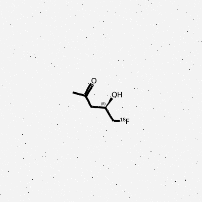 CC(=O)C[C@@H](O)C[18F]